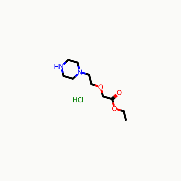 CCOC(=O)COCCN1CCNCC1.Cl